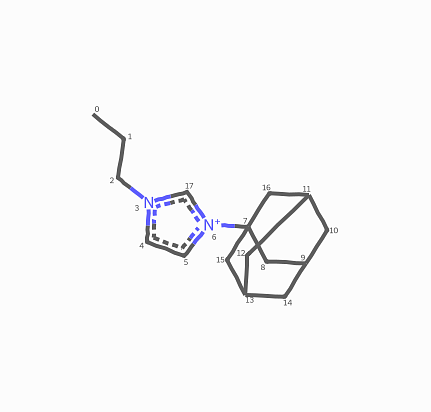 CCCn1cc[n+](C23CC4CC(CC(C4)C2)C3)c1